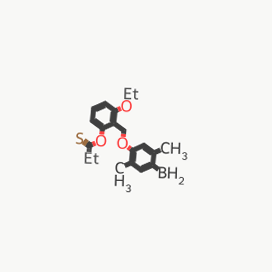 Bc1cc(C)c(OCc2c(OCC)cccc2OC(=S)CC)cc1C